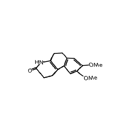 COc1cc2c(cc1OC)C1=C(CC2)NC(=O)CC1